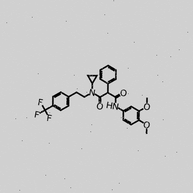 COc1ccc(NC(=O)C(C(=O)N(CCc2ccc(C(F)(F)F)cc2)C2CC2)c2ccccc2)cc1OC